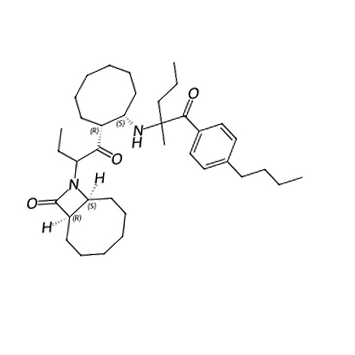 CCCCc1ccc(C(=O)C(C)(CCC)N[C@H]2CCCCCC[C@H]2C(=O)C(CC)N2C(=O)[C@@H]3CCCCCC[C@@H]32)cc1